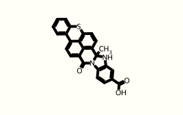 CC12Nc3cc(C(=O)O)ccc3N1C(=O)c1ccc3c4c(ccc2c14)Sc1ccccc1-3